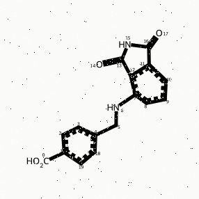 O=C(O)c1ccc(CNc2cccc3c2C(=O)NC3=O)cc1